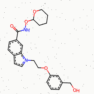 O=C(NOC1CCCCO1)c1ccc2ccn(CCOc3cccc(CO)c3)c2c1